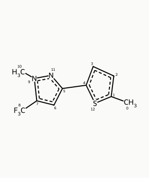 Cc1ccc(-c2cc(C(F)(F)F)n(C)n2)s1